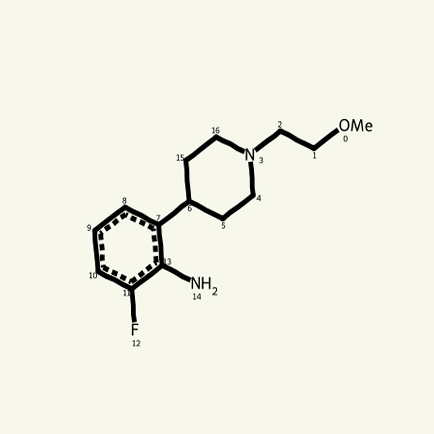 COCCN1CCC(c2cccc(F)c2N)CC1